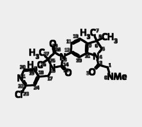 CNCC(=O)N1CC(C)(C)c2ccc(N3C(=O)N(Cc4ccnc(Cl)c4)C(C)(C)C3=O)cc21